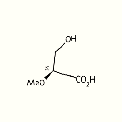 CO[C@@H](CO)C(=O)O